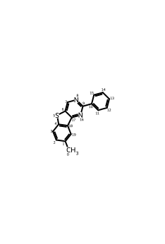 Cc1ccc2sc3cnc(-c4ccccc4)nc3c2c1